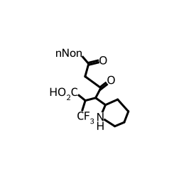 CCCCCCCCCC(=O)CC(=O)C(C1CCCCN1)C(C(=O)O)C(F)(F)F